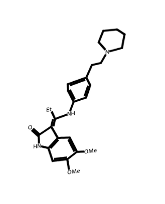 CCC(Nc1ccc(CCN2CCCCC2)cc1)=C1C(=O)Nc2cc(OC)c(OC)cc21